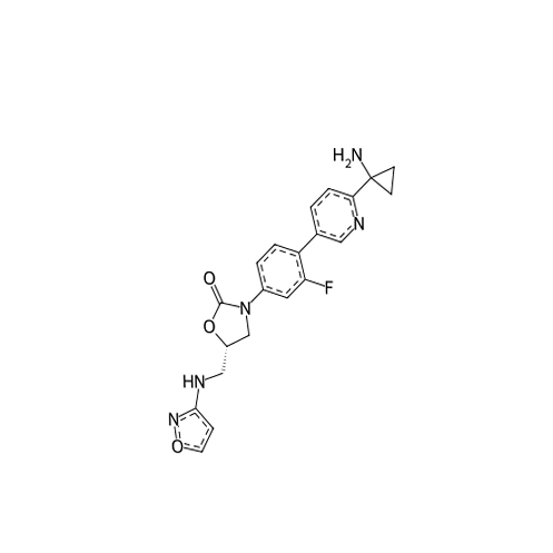 NC1(c2ccc(-c3ccc(N4C[C@H](CNc5ccon5)OC4=O)cc3F)cn2)CC1